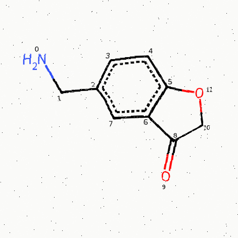 NCc1ccc2c(c1)C(=O)CO2